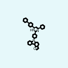 C1=C(c2ccccc2)N=C(c2ccc(-n3c4ccccc4c4c5occc5ccc43)cc2)NC1c1ccc(-c2ccccc2)cc1